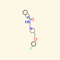 O=C(NCCN1CCC(CCOc2ccc(F)cc2)CC1)N1Cc2ccccc2C1